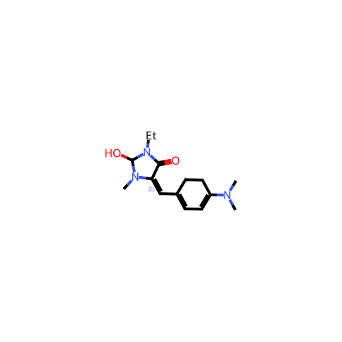 CCN1C(=O)/C(=C\C2=CC=C(N(C)C)CC2)N(C)C1O